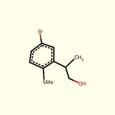 CSc1ccc(Br)cc1[C](C)CO